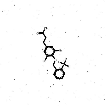 O=C(O)CCc1cc(Br)c(OCc2ccccc2C(F)(F)F)c(Br)c1